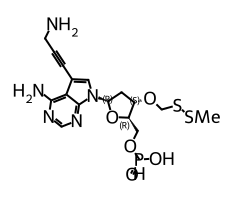 CSSCO[C@H]1C[C@H](n2cc(C#CCN)c3c(N)ncnc32)O[C@@H]1CO[PH](=O)O